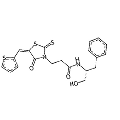 O=C(CCN1C(=O)/C(=C\c2cccs2)SC1=S)N[C@@H](CO)Cc1ccccc1